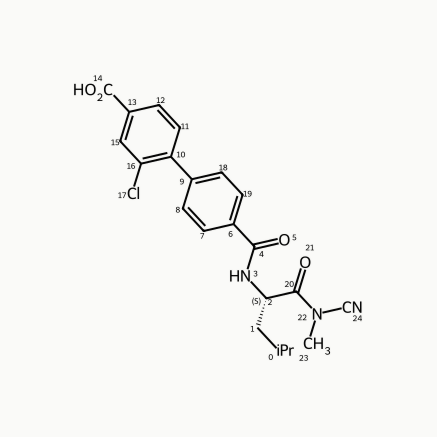 CC(C)C[C@H](NC(=O)c1ccc(-c2ccc(C(=O)O)cc2Cl)cc1)C(=O)N(C)C#N